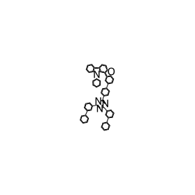 c1ccc(-c2cccc(-c3nc(-c4ccc(-c5ccc6oc7ccc8c9ccccc9n(-c9ccccc9)c8c7c6c5)cc4)nc(-c4cccc(-c5ccccc5)c4)n3)c2)cc1